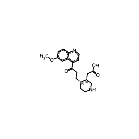 COc1ccc2nccc(C(=O)CC[C@@H]3CCNC[C@@H]3CC(=O)O)c2c1